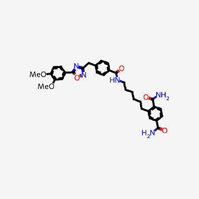 COc1ccc(-c2nc(Cc3ccc(C(=O)NCCCCCCc4cc(C(N)=O)ccc4C(N)=O)cc3)no2)cc1OC